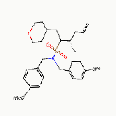 C=CC[C@H](C)C(CC1CCOCC1)S(=O)(=O)N(Cc1ccc(OC)cc1)Cc1ccc(OC)cc1